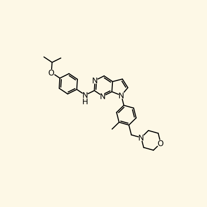 Cc1cc(-n2ccc3cnc(Nc4ccc(OC(C)C)cc4)nc32)ccc1CN1CCOCC1